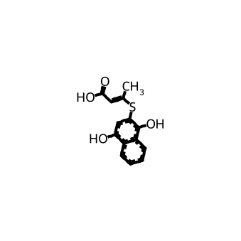 CC(=CC(=O)O)Sc1cc(O)c2ccccc2c1O